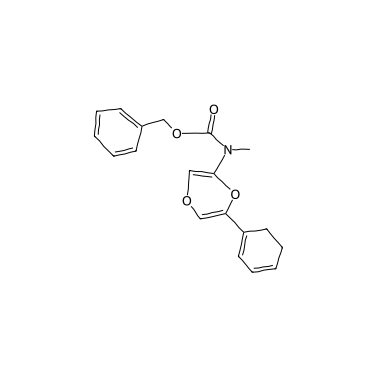 CN(C(=O)OCc1ccccc1)C1=COC=C(C2=CC=CCC2)O1